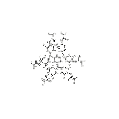 C=C(C)C(=O)Oc1ccc(C(c2cc(C(c3cc(C)c(OC(=O)C(=C)C)c(C)c3)c3cc(C)c(OC(=O)C(=C)C)c(C)c3)cc(C(c3cc(C)c(OC(=O)C(=C)C)c(C)c3)c3cc(C)c(OC(=O)C(=C)C)c(C)c3)c2)c2cc(C)c(OC(=O)C(=C)C)c(C)c2)cc1C